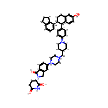 O=C1CC[C@H](N2Cc3cc(N4CCN(CC5CCN(c6ccc([C@@H]7c8ccc(O)cc8CC[C@@H]7c7cccc8c7CCC8)cc6)CC5)CC4)ccc3C2=O)C(=O)N1